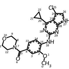 COc1cc(C(=O)N2CCOCC2)ccc1Nc1nc(C2CC2)c2c(Cl)c[nH]c2n1